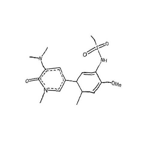 COC1=CC(C)C(c2cc(N(C)C)c(=O)n(C)c2)C=C1NS(C)(=O)=O